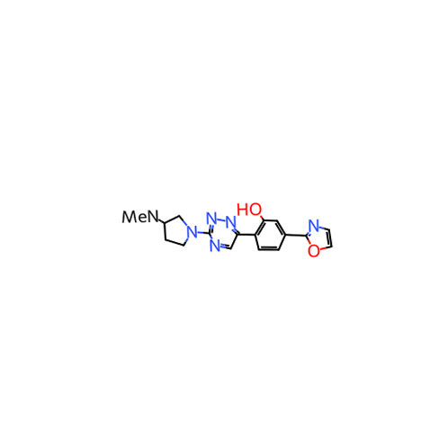 CNC1CCN(c2ncc(-c3ccc(-c4ncco4)cc3O)nn2)C1